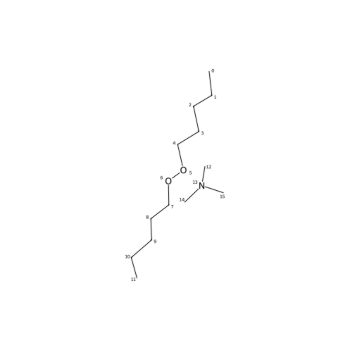 CCCCCOOCCCCC.CN(C)C